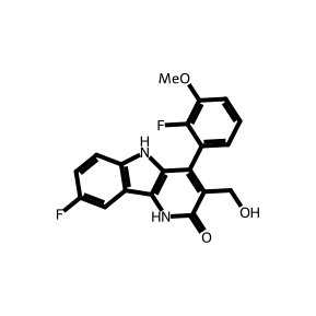 COc1cccc(-c2c(CO)c(=O)[nH]c3c2[nH]c2ccc(F)cc23)c1F